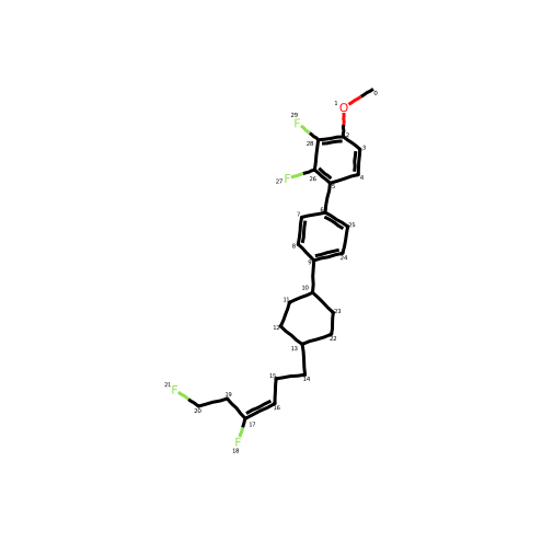 COc1ccc(-c2ccc(C3CCC(CC/C=C(/F)CCF)CC3)cc2)c(F)c1F